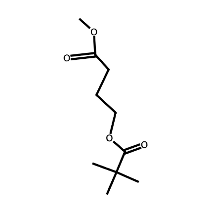 COC(=O)CCCOC(=O)C(C)(C)C